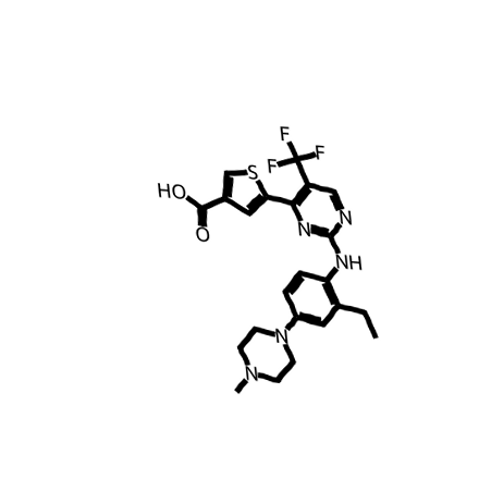 CCc1cc(N2CCN(C)CC2)ccc1Nc1ncc(C(F)(F)F)c(-c2cc(C(=O)O)cs2)n1